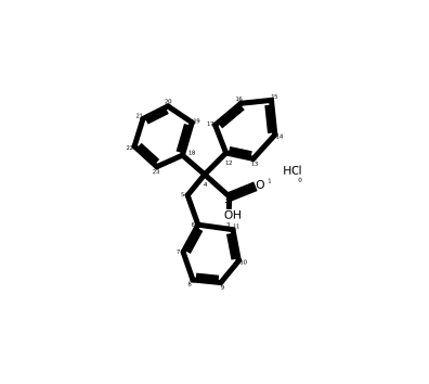 Cl.O=C(O)C(Cc1ccccc1)(c1ccccc1)c1ccccc1